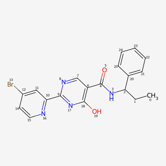 CCC(NC(=O)c1cnc(-c2cc(Br)ccn2)nc1O)c1ccccc1